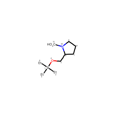 CC[Si](CC)(CC)OCC1CCCN1C(=O)O